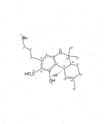 CCC(C)CCCc1cc2c(c(O)c1C(=O)O)[C@@H]1C=C(C)CCC1C(C)(C)O2